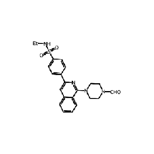 CCNS(=O)(=O)c1ccc(-c2cc3ccccc3c(N3CCN(C=O)CC3)n2)cc1